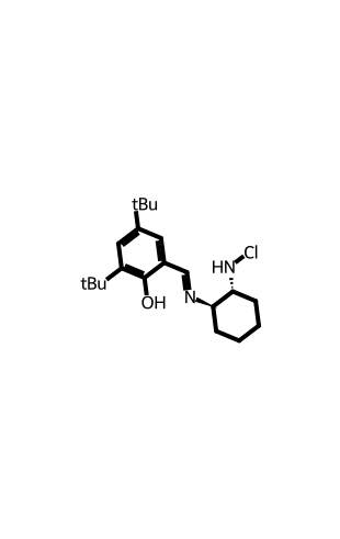 CC(C)(C)c1cc(/C=N/[C@@H]2CCCC[C@H]2NCl)c(O)c(C(C)(C)C)c1